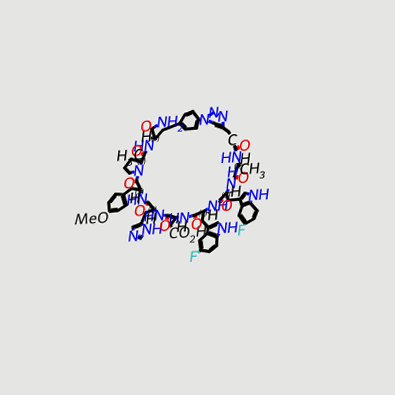 COc1ccc(C[C@@H]2NC(=O)[C@H](Cc3cnc[nH]3)NC(=O)[C@H](CC(=O)O)NC(=O)[C@H](Cc3c[nH]c4ccc(F)cc34)NC(=O)[C@H](Cc3c[nH]c4ccc(F)cc34)NC(=O)[C@@H](C)NC(=O)CCc3cn(nn3)-c3ccc(cc3)C[C@@H](C(N)=O)NC(=O)[C@]3(C)CCCN3C2=O)cc1